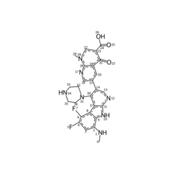 CNc1cc(F)c(F)c2c1[nH]c1ncc(-c3cnc4c(c3)c(=O)c(C(=O)O)cn4C)c(N3CCNCC3)c12